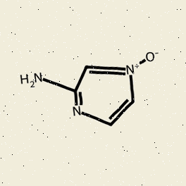 Nc1c[n+]([O-])ccn1